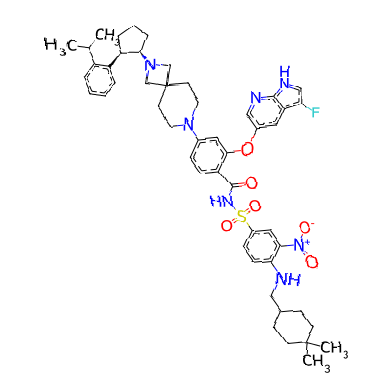 CC(C)c1ccccc1[C@H]1CCC[C@H]1N1CC2(CCN(c3ccc(C(=O)NS(=O)(=O)c4ccc(NCC5CCC(C)(C)CC5)c([N+](=O)[O-])c4)c(Oc4cnc5[nH]cc(F)c5c4)c3)CC2)C1